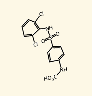 O=C(O)Nc1ccc(S(=O)(=O)Nc2c(Cl)cccc2Cl)cc1